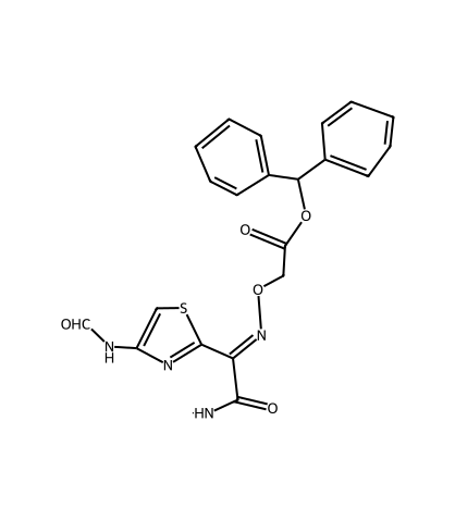 [NH]C(=O)C(=NOCC(=O)OC(c1ccccc1)c1ccccc1)c1nc(NC=O)cs1